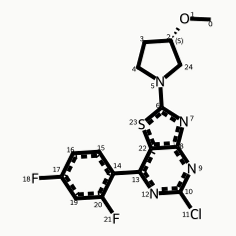 CO[C@H]1CCN(c2nc3nc(Cl)nc(-c4ccc(F)cc4F)c3s2)C1